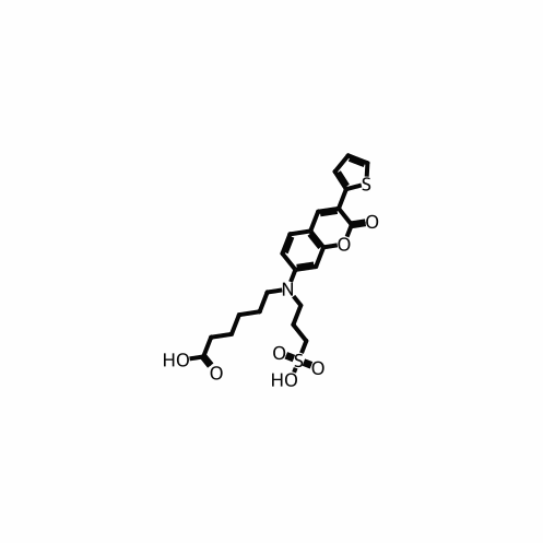 O=C(O)CCCCCN(CCCS(=O)(=O)O)c1ccc2cc(-c3cccs3)c(=O)oc2c1